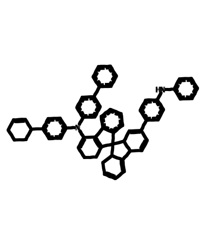 C1=CCC2C(=C1)C1C=CC(c3ccc(Nc4ccccc4)cc3)=CC1C21C2=C(C(N(c3ccc(-c4ccccc4)cc3)c3ccc(C4C=CCCC4)cc3)=CCC2)c2ccccc21